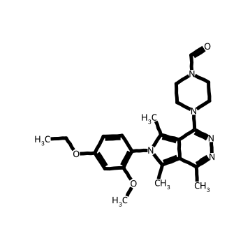 CCOc1ccc(-n2c(C)c3c(C)nnc(N4CCN(C=O)CC4)c3c2C)c(OC)c1